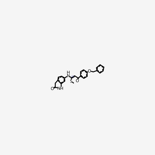 CS/C(=C\C(=O)c1ccc(OCc2ccccc2)cc1)Nc1ccc2c(c1)CNC(=O)C2